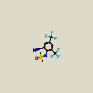 CS(C)(=O)=Nc1c(C#N)cc(C(F)(F)F)cc1C(F)(F)F